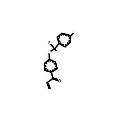 C=CC(=O)c1ccc(OC(F)(F)c2ccc(F)cc2)cc1